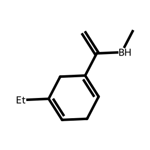 C=C(BC)C1=CCC=C(CC)C1